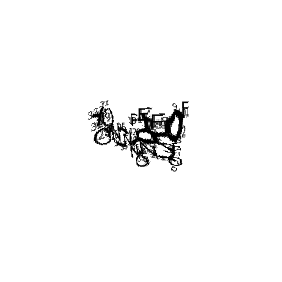 COC1CSc2c(-c3ccc(F)cc3F)c(C(F)(F)F)cc3c(N4CCN(C(=O)OC(C)(C)C)CC4)nc(=O)n(c23)C1